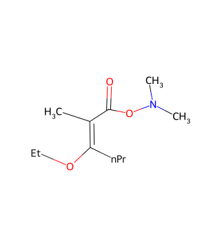 CCCC(OCC)=C(C)C(=O)ON(C)C